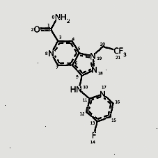 NC(=O)c1cc2c(cn1)c(Nc1cc(F)ccn1)nn2CC(F)(F)F